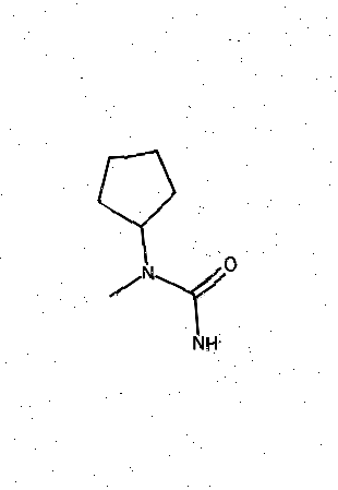 CN(C([NH])=O)C1CCCC1